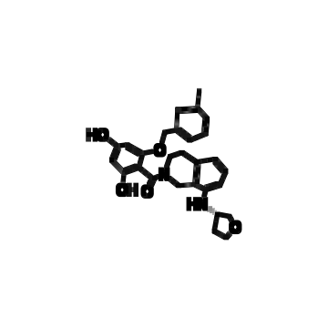 Cc1cccc(COc2cc(O)cc(O)c2C(=O)N2CCc3cccc(N[C@H]4CCOC4)c3C2)c1